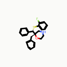 Fc1ccccc1S[C@@H](c1ccccc1)[C@]1(Cc2ccccc2)CNCCO1